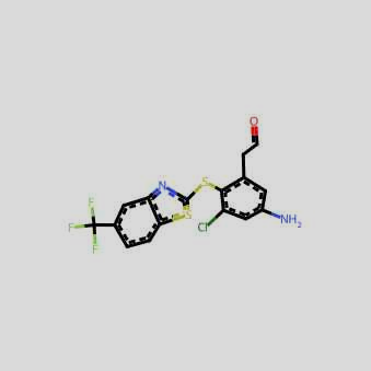 Nc1cc(Cl)c(Sc2nc3cc(C(F)(F)F)ccc3s2)c(CC=O)c1